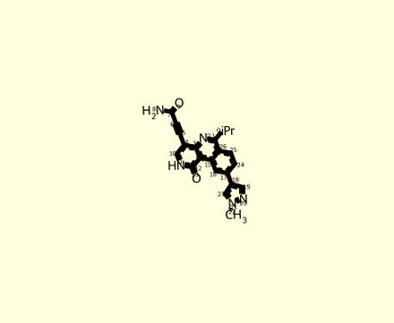 CC(C)c1nc2c(C#CC(N)=O)c[nH]c(=O)c2c2cc(-c3cnn(C)c3)ccc12